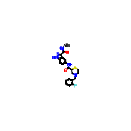 CCCCNC(=O)c1n[nH]c2ccc(NC(=O)C3CN(Cc4ccccc4F)CCS3)cc12